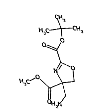 COC(=O)C1(CN)COC(C(=O)OC(C)(C)C)=N1